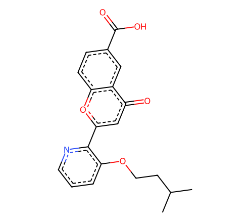 CC(C)CCOc1cccnc1-c1cc(=O)c2cc(C(=O)O)ccc2o1